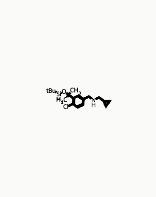 CC(C)(C)[SiH2]OC(C)(C)c1cc(CNCC2CC2)ccc1Cl